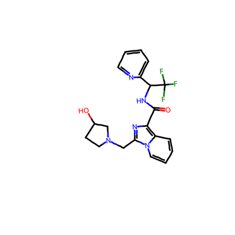 O=C(NC(c1ccccn1)C(F)(F)F)c1nc(CN2CCC(O)C2)n2ccccc12